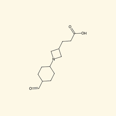 O=CC1CCC(N2CC(CCC(=O)O)C2)CC1